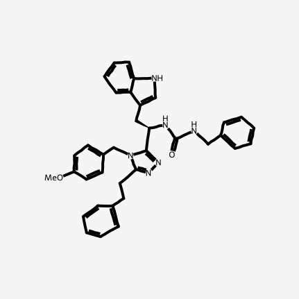 COc1ccc(Cn2c(CCc3ccccc3)nnc2[C@@H](Cc2c[nH]c3ccccc23)NC(=O)NCc2ccccc2)cc1